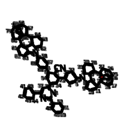 N#Cc1c(-c2ccc(-n3c4cccc(-c5ccccc5)c4c4c(-c5ccccc5)cccc43)cc2)cc(-c2cc(-c3ccccc3)nc(-c3ccccc3)n2)cc1-c1ccc(-n2c3cccc(-c4ccccc4)c3c3c(-c4ccccc4)cccc32)cc1